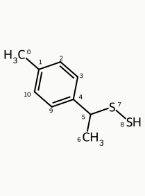 Cc1ccc(C(C)SS)cc1